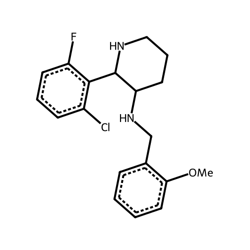 COc1ccccc1CNC1CCCNC1c1c(F)cccc1Cl